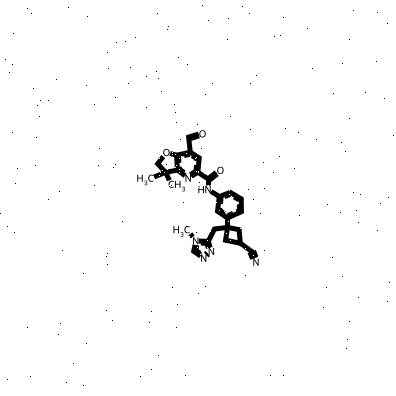 Cn1cnnc1CC1(c2cccc(NC(=O)c3cc(C=O)c4c(n3)C(C)(C)CO4)c2)CC(C#N)C1